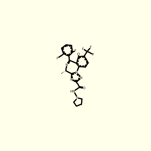 C[C@@H]1N=C(c2c(F)cccc2F)c2c(ccc(C(F)(F)F)c2Cl)-n2nc(C(=O)NN3CCCC3)nc21